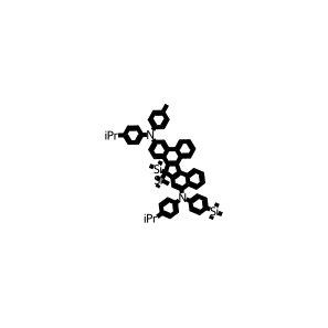 Cc1ccc(N(c2ccc(C(C)C)cc2)c2ccc3c4c(c5ccccc5c3c2)-c2c(cc(N(c3ccc(C(C)C)cc3)c3ccc([Si](C)(C)C)cc3)c3ccccc23)C4([Si](C)(C)C)[Si](C)(C)C)cc1